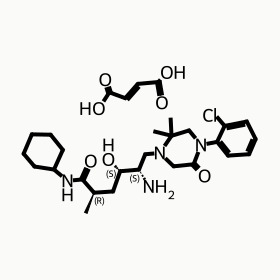 C[C@H](C[C@H](O)[C@@H](N)CN1CC(=O)N(c2ccccc2Cl)CC1(C)C)C(=O)NC1CCCCC1.O=C(O)C=CC(=O)O